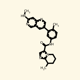 CNc1cc2ncc(-c3cc(NC(=O)c4cnc5n4CCCC5C)ccc3C)cc2cn1